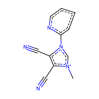 C[n+]1cn(-c2ccccn2)c(C#N)c1C#N